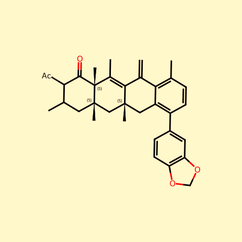 C=C1C2=C(C)[C@@]3(C)C(=O)C(C(C)=O)C(C)C[C@@]3(C)C[C@@]2(C)Cc2c(-c3ccc4c(c3)OCO4)ccc(C)c21